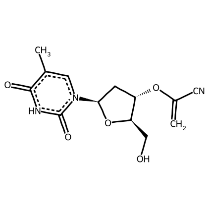 C=C(C#N)O[C@H]1C[C@H](n2cc(C)c(=O)[nH]c2=O)O[C@@H]1CO